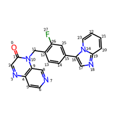 O=c1cnc2ccncc2n1Cc1ccc(-c2cnc3ccccn23)cc1F